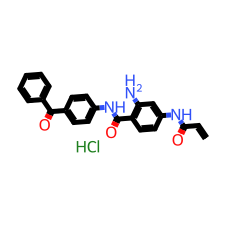 C=CC(=O)Nc1ccc(C(=O)Nc2ccc(C(=O)c3ccccc3)cc2)c(N)c1.Cl